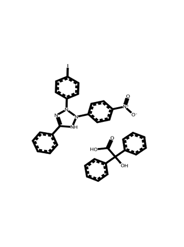 O=C(O)C(O)(c1ccccc1)c1ccccc1.O=[N+]([O-])c1ccc(N2NC(c3ccccc3)=NN2c2ccc(I)cc2)cc1